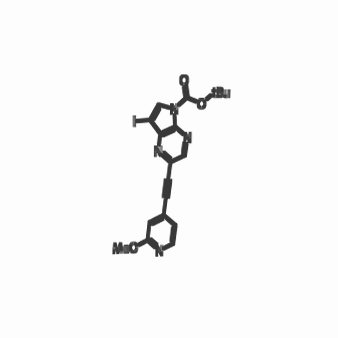 COc1cc(C#Cc2cnc3c(n2)c(I)cn3C(=O)OC(C)(C)C)ccn1